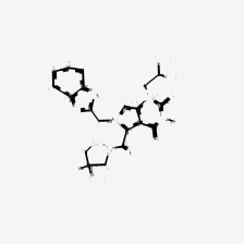 CC(C)Cn1c(=O)n(C)c(=O)c2c(C(=O)N3CC(C)(O)CO3)n(Cc3nc4ccccc4s3)cc21